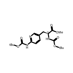 COC(=O)[C@H](Cc1ccc(NC(=O)OC(C)(C)C)nc1)NC(=O)OC(C)(C)C